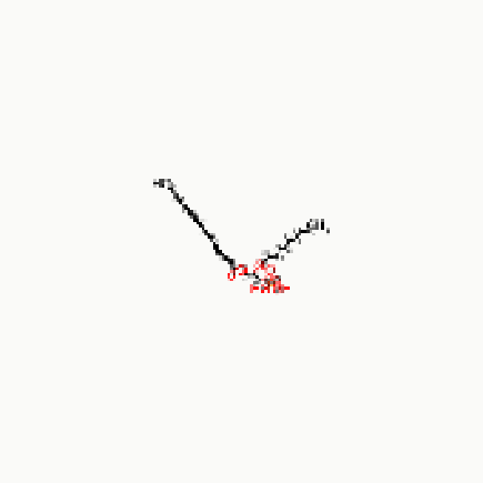 C#CC#CC#CC#CC#CC#CC#CC(=O)OC[C@@H](COP(=O)(O)O)OC(=O)CCCCCCCCC